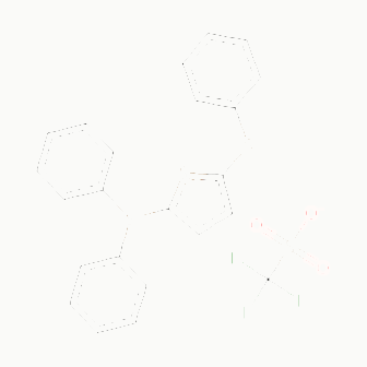 O=S(=O)([O-])C(F)(F)F.c1ccc(Sc2ccc([S+](c3ccccc3)c3ccccc3)s2)cc1